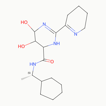 C[C@H](NC(=O)C1NC(C2=NCCCC2)=NC(O)C1O)C1CCCCC1